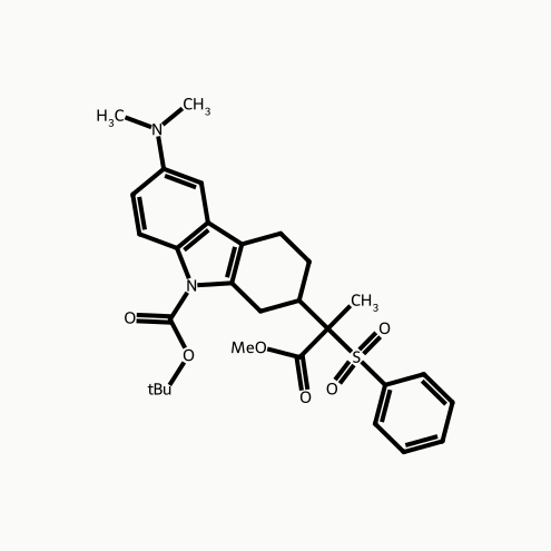 COC(=O)C(C)(C1CCc2c(n(C(=O)OC(C)(C)C)c3ccc(N(C)C)cc23)C1)S(=O)(=O)c1ccccc1